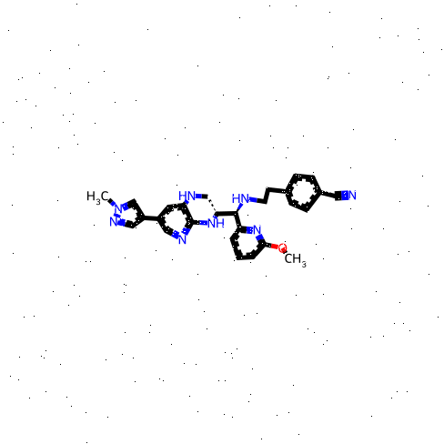 COc1cccc([C@H](NCCc2ccc(C#N)cc2)[C@H]2CNc3cc(-c4cnn(C)c4)cnc3N2)n1